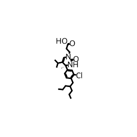 CCCC(CCC)Cc1ccc([C@]2(C)NC(=O)N(CCC(=O)O)C=C2C(C)C)cc1Cl